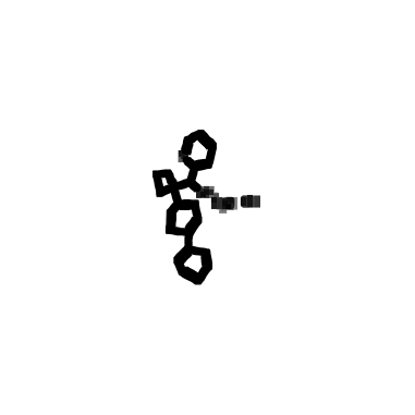 Cl.Cl.NC(c1ccccn1)C1(c2ccc(-c3ccccc3)cc2)CCC1.O